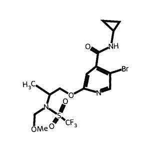 COCN(C(C)COc1cc(C(=O)NC2CC2)c(Br)cn1)S(=O)(=O)C(F)(F)F